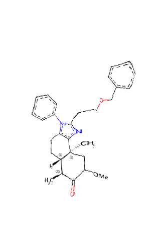 COC1C[C@]2(C)c3nc(CCOCc4ccccc4)n(-c4ccccc4)c3CC[C@H]2[C@H](C)C1=O